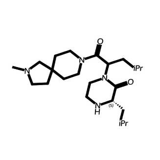 CC(C)CC(C(=O)N1CCC2(CCN(C)C2)CC1)N1CCN[C@@H](CC(C)C)C1=O